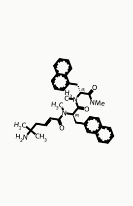 CNC(=O)[C@@H](Cc1cccc2ccccc12)N(C)C(=O)[C@@H](Cc1ccc2ccccc2c1)N(C)C(=O)C=CCC(C)(C)N